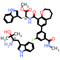 CC(C)(O)[C@H](N)Cc1c[nH]c2ccccc12.CNC(=O)c1cc(F)cc(-c2cc3c(c(C(=O)N[C@H](Cc4c[nH]c5ccccc45)C(=O)OC)c2)OCCCC3)c1